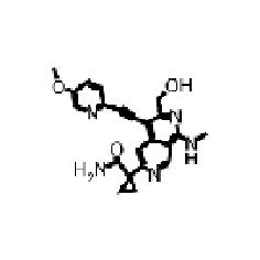 CNc1nc(CO)c(C#Cc2ccc(OC)cn2)c2cc(C3(C(N)=O)CC3)ncc12